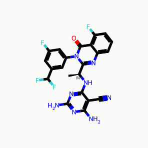 C[C@H](Nc1nc(N)nc(N)c1C#N)c1nc2cccc(F)c2c(=O)n1-c1cc(F)cc(C(F)F)c1